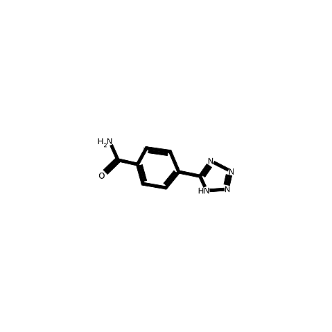 NC(=O)c1[c]cc(-c2nnn[nH]2)cc1